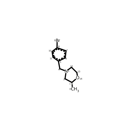 C[C@H]1CN(Cc2ccc(Br)cc2)CCO1